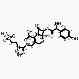 NC(C(=O)NC1C(=O)N2C(C(=O)O)=C(CSc3nnnn3CCS(N)(=O)=O)CS[C@H]12)c1ccc(O)cc1